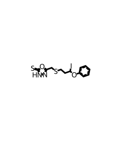 S=c1[nH]nc(CSCCC(I)Oc2ccccc2)o1